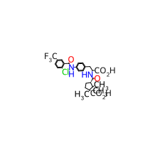 CC1(C)[C@H](C(=O)N[C@@H](Cc2ccc(NC(=O)c3cc(C(F)(F)F)ccc3Cl)cc2)C(=O)O)CC[C@]1(C)C(=O)O